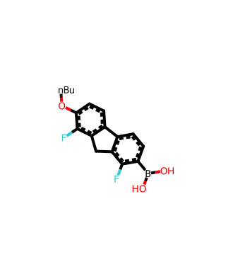 CCCCOc1ccc2c(c1F)Cc1c-2ccc(B(O)O)c1F